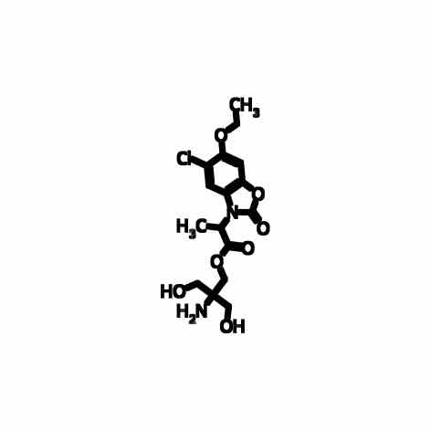 CCOc1cc2oc(=O)n(C(C)C(=O)OCC(N)(CO)CO)c2cc1Cl